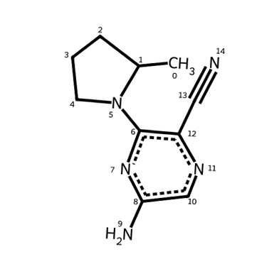 CC1CCCN1c1nc(N)cnc1C#N